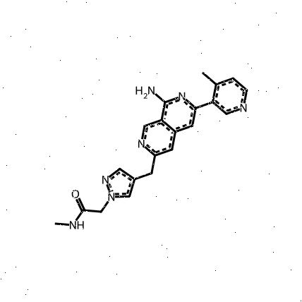 CNC(=O)Cn1cc(Cc2cc3cc(-c4cnccc4C)nc(N)c3cn2)cn1